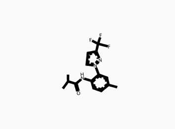 Cc1ccc(NC(=O)C(C)C)c(-n2ccc(C(F)(F)F)n2)c1